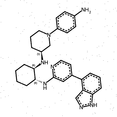 Nc1ccc(N2CCC[C@H](N[C@@H]3CCCC[C@H]3Nc3cc(-c4cccc5[nH]ncc45)ccn3)C2)cc1